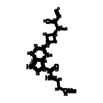 C=CC(=O)N(C)C1CN(c2cnc3[nH]cc(C(=O)NCCOC)c3n2)C1